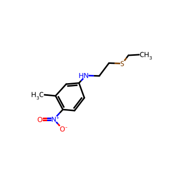 CCSCCNc1ccc([N+](=O)[O-])c(C)c1